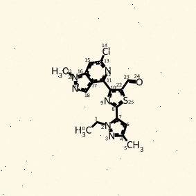 CCn1nc(C)cc1-c1nc(-c2nc(Cl)cc3c2cnn3C)c(C=O)s1